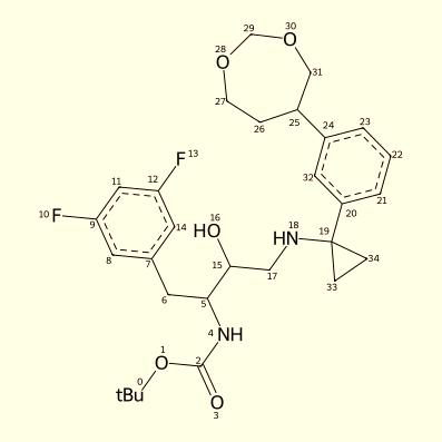 CC(C)(C)OC(=O)NC(Cc1cc(F)cc(F)c1)C(O)CNC1(c2cccc(C3CCOCOC3)c2)CC1